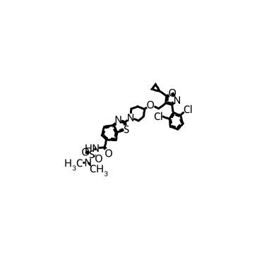 CN(C)S(=O)(=O)NC(=O)c1ccc2nc(N3CCC(OCc4c(-c5c(Cl)cccc5Cl)noc4C4CC4)CC3)sc2c1